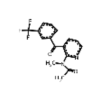 CC(=O)N(C)c1ncccc1C(=O)c1cccc(C(F)(F)F)c1